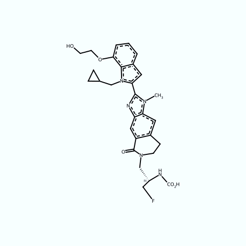 Cn1c(-c2cc3cccc(OCCO)c3n2CC2CC2)nc2cc3c(cc21)CCN(C[C@@H](CF)NC(=O)O)C3=O